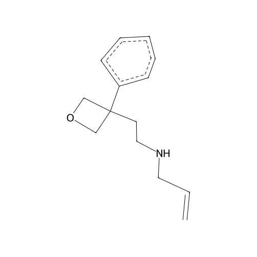 C=CCNCCC1(c2ccccc2)COC1